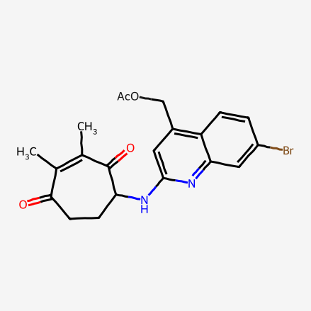 CC(=O)OCc1cc(NC2CCC(=O)C(C)=C(C)C2=O)nc2cc(Br)ccc12